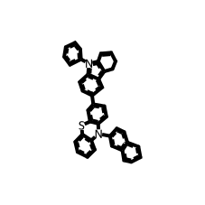 C1=Cc2c(c3cc(-c4ccc5c(c4)Sc4ccccc4N5c4ccc5ccccc5c4)ccc3n2-c2ccccc2)CC1